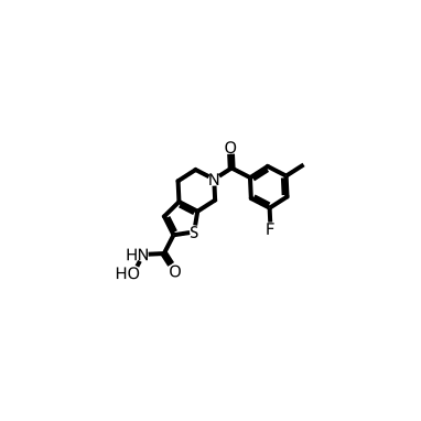 Cc1cc(F)cc(C(=O)N2CCc3cc(C(=O)NO)sc3C2)c1